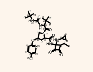 CCC1C(=O)C(=O)C1(NC(=O)C1CC(Oc2ccc(Cl)cn2)CN1C(=O)C(NC(=O)NC(C)(C)C)C(C)(C)C)NC1CC1